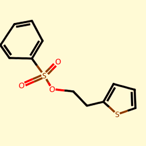 O=S(=O)(OCCc1cccs1)c1ccccc1